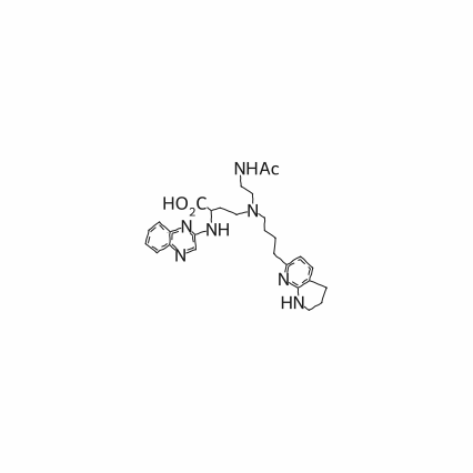 CC(=O)NCCN(CCCCc1ccc2c(n1)NCCC2)CCC(Nc1cnc2ccccc2n1)C(=O)O